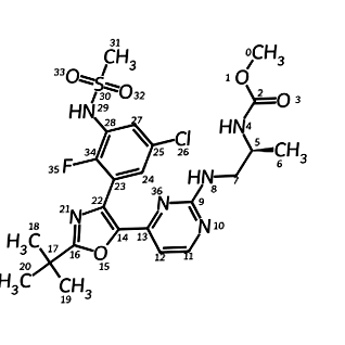 COC(=O)N[C@@H](C)CNc1nccc(-c2oc(C(C)(C)C)nc2-c2cc(Cl)cc(NS(C)(=O)=O)c2F)n1